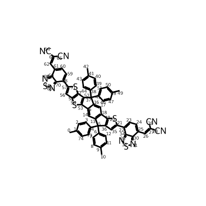 Cc1ccc(C2(c3ccc(C)cc3)c3cc4c(cc3-c3sc(-c5ccc(C=C(C#N)C#N)c6nsnc56)cc32)C(c2ccc(C)cc2)(c2ccc(C)cc2)c2c-4sc3cc(-c4ccc(C=C(C#N)C#N)c5nsnc45)sc23)cc1